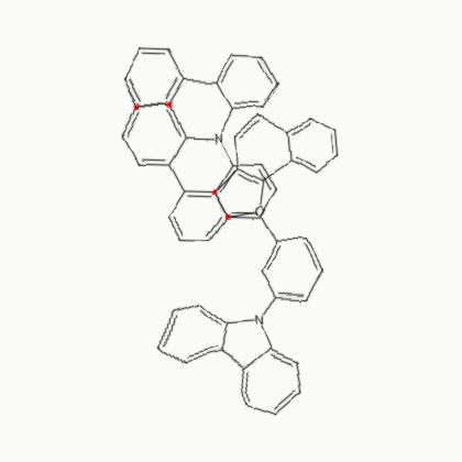 c1ccc(-c2ccccc2N(c2ccc(-c3cccc(-n4c5ccccc5c5ccccc54)c3)cc2)c2ccccc2-c2cccc3oc4c5ccccc5ccc4c23)cc1